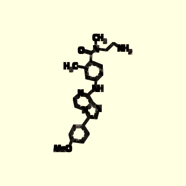 COc1ccc(-c2cnc3c(Nc4ccc(C(=O)N(C)CCN)c(C)c4)nccn23)cc1